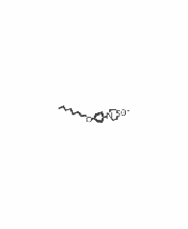 CCCCCCCCOc1ccc(N2CC[S+]([O-])CC2)cc1